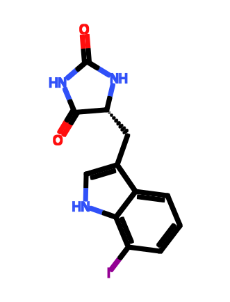 O=C1NC(=O)[C@@H](Cc2c[nH]c3c(I)cccc23)N1